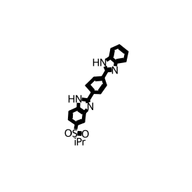 CC(C)S(=O)(=O)c1ccc2[nH]c(-c3ccc(-c4nc5ccccc5[nH]4)cc3)nc2c1